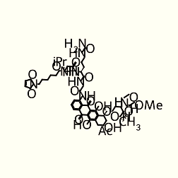 CO[C@H]1OCCN2[C@@H]1O[C@@H]1[C@H](C)O[C@@H](O[C@H]3C[C@](O)(C(C)=O)Cc4c(O)c5c(c(O)c43)C(=O)c3c(NC(=O)CNC(=O)[C@H](CCCNC(N)=O)NC(=O)[C@@H](NC(=O)CCCCCN4C(=O)C=CC4=O)C(C)C)cccc3C5=O)C[C@@H]12